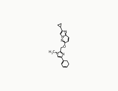 Cn1cc(C2=CC=CCC2)nc1COc1ccc2nc(C3CC3)cn2n1